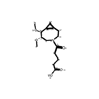 CO[C@H]1CN(C(=O)CCCC(=O)O)CCC2=C(C2)[C@@H]1OC